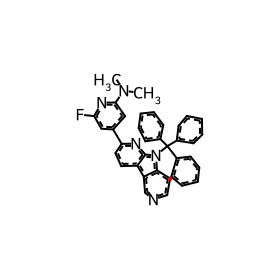 CN(C)c1cc(-c2ccc3c4cnccc4n(C(c4ccccc4)(c4ccccc4)c4ccccc4)c3n2)cc(F)n1